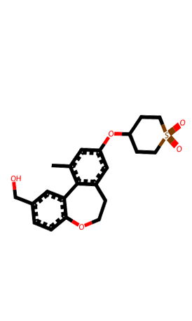 Cc1cc(OC2CCS(=O)(=O)CC2)cc2c1-c1cc(CO)ccc1OCC2